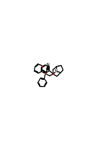 N#CC(CC1CC2CCC(C1)N2Cc1ccccc1)(c1ccccc1)c1ccccc1